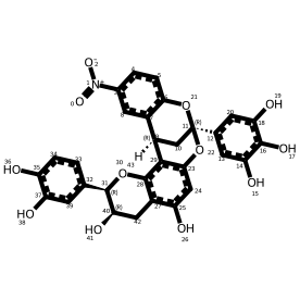 O=[N+]([O-])c1ccc2c(c1)[C@H]1C[C@@](c3cc(O)c(O)c(O)c3)(O2)Oc2cc(O)c3c(c21)O[C@H](c1ccc(O)c(O)c1)[C@H](O)C3